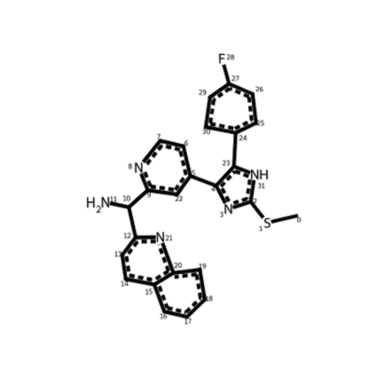 CSc1nc(-c2ccnc(C(N)c3ccc4ccccc4n3)c2)c(-c2ccc(F)cc2)[nH]1